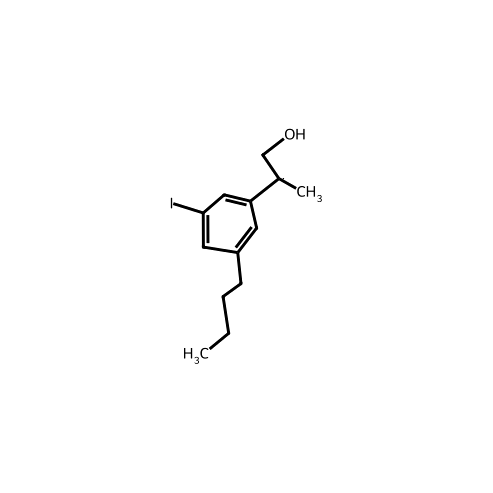 CCCCc1cc(I)cc([C](C)CO)c1